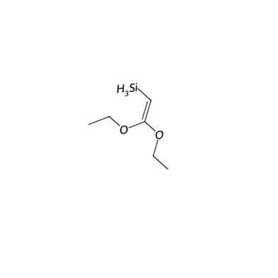 CCOC(=C[SiH3])OCC